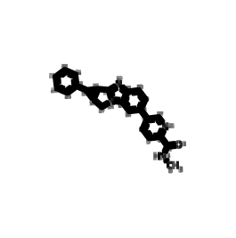 CNC(=O)c1ccc(-c2ccc3nc4n(c3c2)CC2C(c3ccccc3)C42)cn1